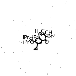 CC(C)[Si](Oc1cc2c(cc1C1CC1)C(=O)C(Br)C(C)(C)O2)(C(C)C)C(C)C